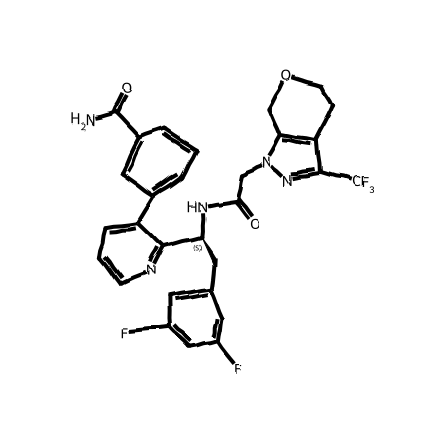 NC(=O)c1cccc(-c2cccnc2[C@H](Cc2cc(F)cc(F)c2)NC(=O)Cn2nc(C(F)(F)F)c3c2COCC3)c1